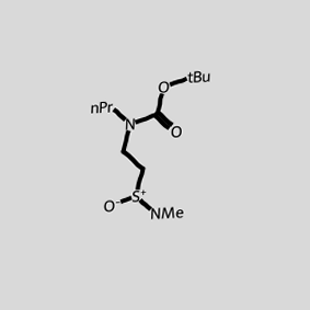 CCCN(CC[S+]([O-])NC)C(=O)OC(C)(C)C